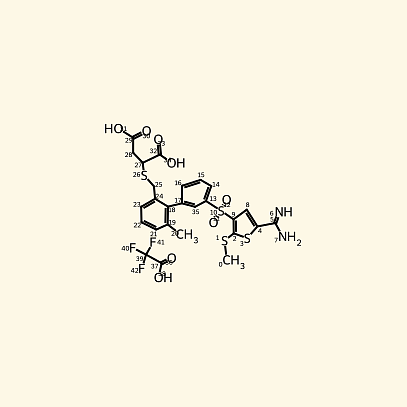 CSc1sc(C(=N)N)cc1S(=O)(=O)c1cccc(-c2c(C)cccc2CSC(CC(=O)O)C(=O)O)c1.O=C(O)C(F)(F)F